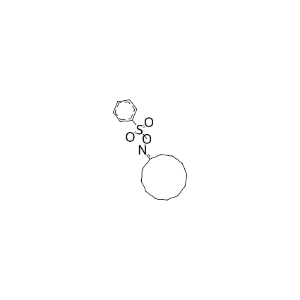 O=S(=O)(ON=C1CCCCCCCCCCC1)c1ccccc1